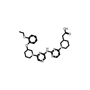 CCOc1ccccc1OC1CCCN(c2cncc(Nc3nccc(N4CCCC(CC(=O)O)C4)n3)n2)C1